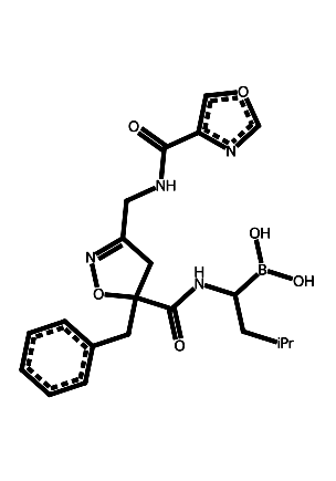 CC(C)CC(NC(=O)C1(Cc2ccccc2)CC(CNC(=O)c2cocn2)=NO1)B(O)O